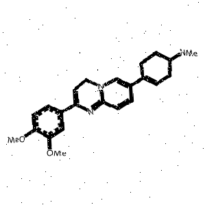 CNC1CC=C(C2=CN3CC=C(c4ccc(OC)c(OC)c4)N=C3C=C2)CC1